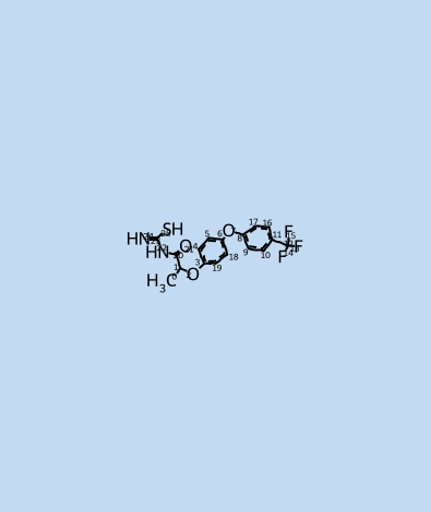 CC(Oc1ccc(Oc2ccc(C(F)(F)F)cc2)cc1)C(=O)NC(=N)S